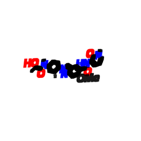 COc1cc2nn([C@@H]3CC[C@@H](N(C)C(=O)[C@@H](C)O)C[C@H]3C)cc2cc1C(=O)Nc1cccn(C)c1=O